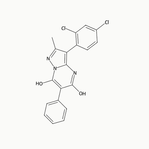 Cc1nn2c(O)c(-c3ccccc3)c(O)nc2c1-c1ccc(Cl)cc1Cl